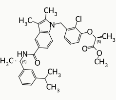 COC(=O)[C@H](C)Oc1cccc(Cn2c(C)c(C)c3cc(C(=O)N[C@@H](C)c4cccc(C(C)C)c4)ccc32)c1Cl